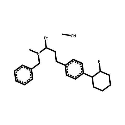 CC#N.CCC(CCc1ccc(C2CCCCC2F)cc1)N(C)Cc1ccccc1